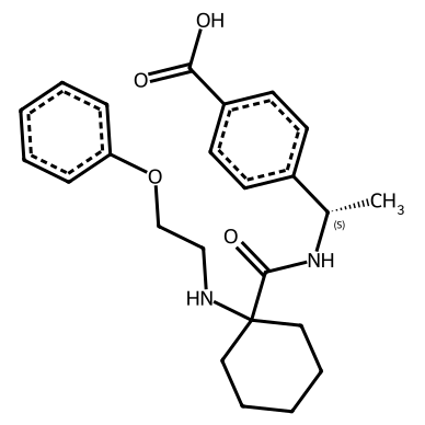 C[C@H](NC(=O)C1(NCCOc2ccccc2)CCCCC1)c1ccc(C(=O)O)cc1